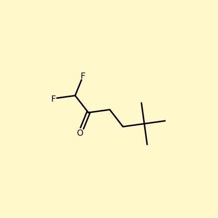 CC(C)(C)CCC(=O)C(F)F